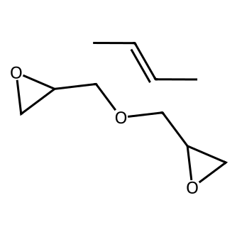 C(OCC1CO1)C1CO1.CC=CC